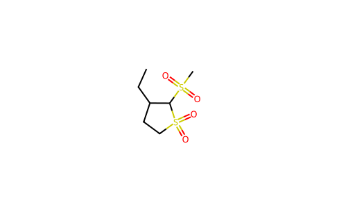 CCC1CCS(=O)(=O)C1S(C)(=O)=O